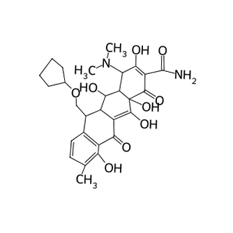 Cc1ccc2c(c1O)C(=O)C1=C(O)C3(O)C(=O)C(C(N)=O)=C(O)C(N(C)C)C3C(O)C1C2COC1CCCC1